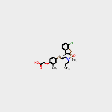 CCCN(CCSc1ccc(OCC(=O)O)c(C)c1)[SH](C)(=O)c1sc2c(Cl)cccc2c1C